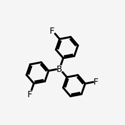 Fc1cccc(B(c2cccc(F)c2)c2cccc(F)c2)c1